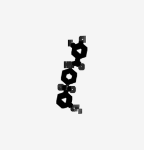 O=C(N[C@H]1CC[C@@H](S(=O)(=O)c2cccc(C(F)(F)F)c2)CC1)c1ccc(Cl)c(F)c1